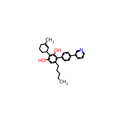 CCCCCc1cc(O)c(C2C=C(C)CCC2)c(O)c1-c1ccc(-c2cccnc2)cc1